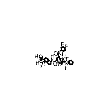 Cc1ccccc1NC(=O)c1cnn2c(C(=O)N[C@H]3CCc4c3ccc(C(=O)O)c4C)cc(C(=O)NCc3ccc(F)c(F)c3)cc12